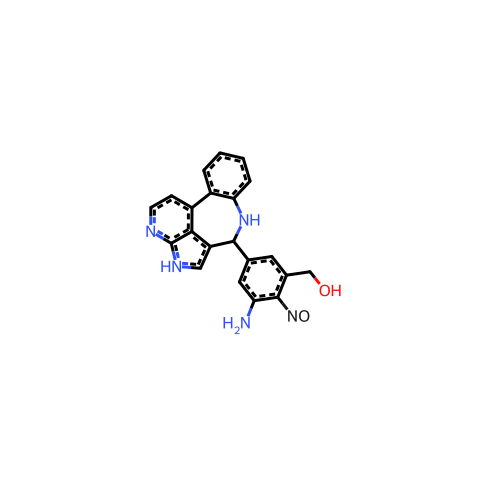 Nc1cc(C2Nc3ccccc3-c3ccnc4[nH]cc2c34)cc(CO)c1N=O